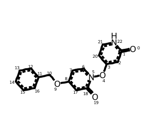 O=c1cc(On2ccc(OCc3ccccc3)cc2=O)cc[nH]1